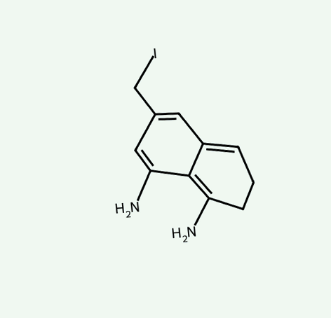 NC1=c2c(N)cc(CI)cc2=CCC1